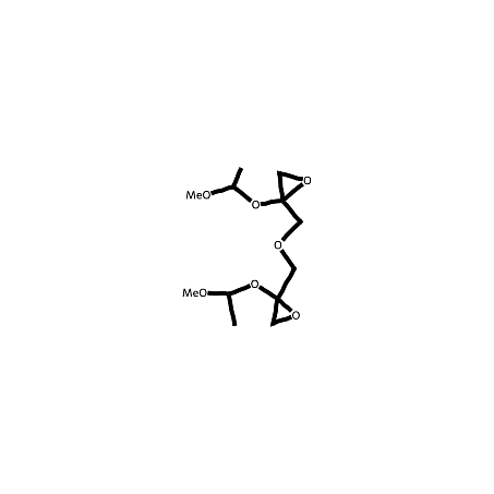 COC(C)OC1(COCC2(OC(C)OC)CO2)CO1